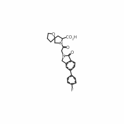 O=C(O)C1CC2(CCCO2)CN1C(=O)CN1Cc2cc(-c3ccc(F)cc3)ccc2C1=O